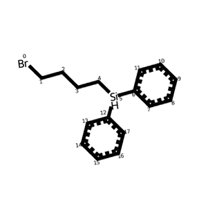 BrCCCC[SiH](c1ccccc1)c1ccccc1